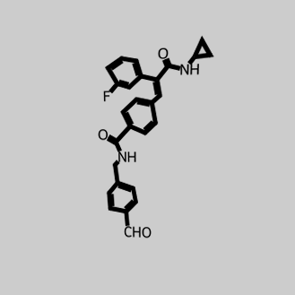 O=Cc1ccc(CNC(=O)c2ccc(/C=C(/C(=O)NC3CC3)c3cccc(F)c3)cc2)cc1